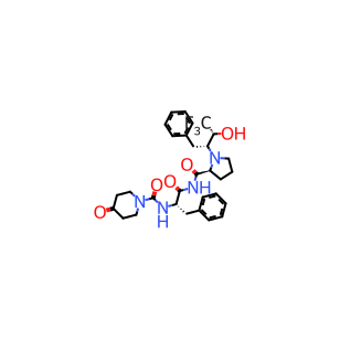 O=C1CCN(C(=O)N[C@@H](Cc2ccccc2)C(=O)NC(=O)[C@@H]2CCCN2[C@H](Cc2ccccc2)[C@@H](O)C(F)(F)F)CC1